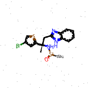 CC(C)(C)[S+]([O-])N[C@@](C)(Cc1nc2ccccc2[nH]1)c1cc(Br)cs1